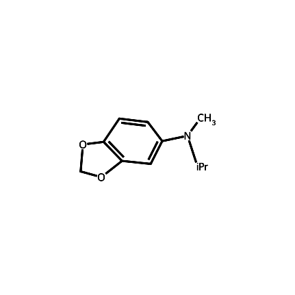 CC(C)N(C)c1ccc2c(c1)OCO2